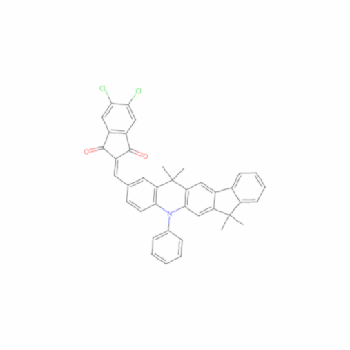 CC1(C)c2ccccc2-c2cc3c(cc21)N(c1ccccc1)c1ccc(C=C2C(=O)c4cc(Cl)c(Cl)cc4C2=O)cc1C3(C)C